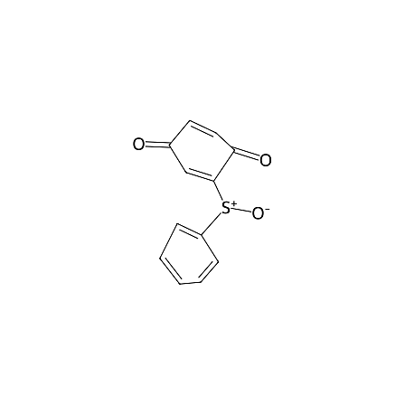 O=C1C=CC(=O)C([S+]([O-])c2ccccc2)=C1